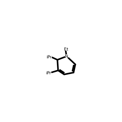 CCN1C=CC=C(C(C)C)C1C(C)C